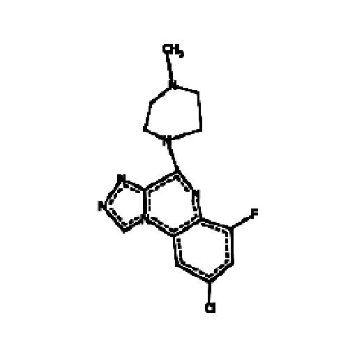 CN1CCN(c2nc3c(F)cc(Cl)cc3n3cnnc23)CC1